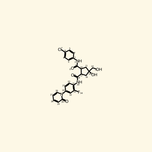 O=C(Nc1ccc(Cl)cc1)C1CC(O)(CO)CC1C(=O)Nc1ccc(-n2ccccc2=O)cc1F